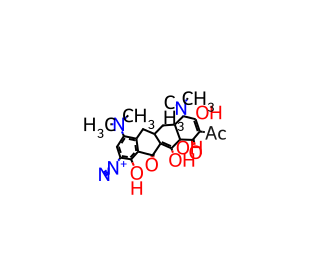 CC(=O)C1=C(O)C(N(C)C)C2CC3Cc4c(N(C)C)cc([N+]#N)c(O)c4C(=O)C3=C(O)C2(O)C1=O